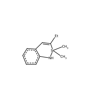 CCC1=Cc2ccccc2N[Si]1(C)C